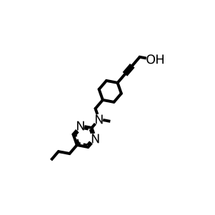 CCCc1cnc(N(C)CC2CCC(C#CCO)CC2)nc1